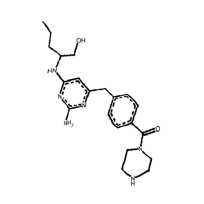 CCCC(CO)Nc1cc(Cc2ccc(C(=O)N3CCNCC3)cc2)nc(N)n1